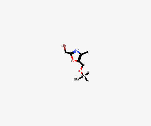 Cc1nc(CBr)oc1CO[Si](C)(C)C(C)(C)C